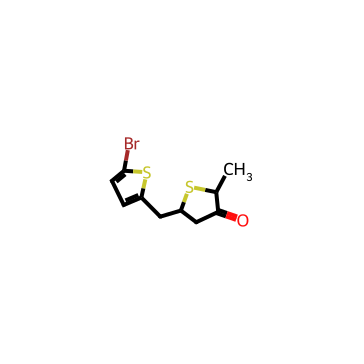 CC1SC(Cc2ccc(Br)s2)CC1=O